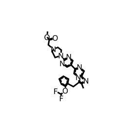 COC(=O)CN1CCN(c2ncc(-c3cn4c(Cc5ccccc5OC(F)F)c(C)nc4cn3)cn2)CC1